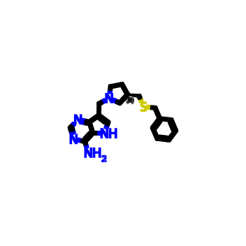 Nc1ncnc2c(CN3CC[C@@H](CSCc4ccccc4)C3)c[nH]c12